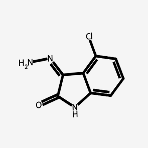 N/N=C1\C(=O)Nc2cccc(Cl)c21